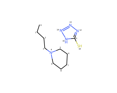 CCCCN1CCCCC1.Sc1nnn[nH]1